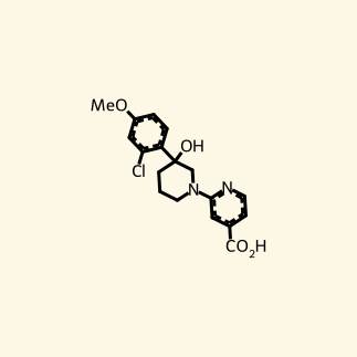 COc1ccc(C2(O)CCCN(c3cc(C(=O)O)ccn3)C2)c(Cl)c1